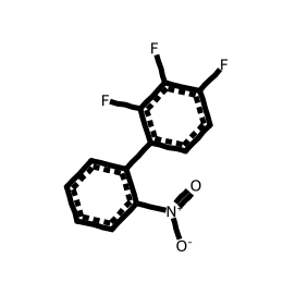 O=[N+]([O-])c1ccccc1-c1ccc(F)c(F)c1F